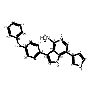 Nc1ncc(-c2ccoc2)c2scc(-c3ccc(Oc4ccccc4)cc3)c12